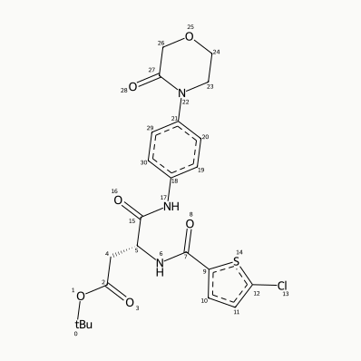 CC(C)(C)OC(=O)C[C@@H](NC(=O)c1ccc(Cl)s1)C(=O)Nc1ccc(N2CCOCC2=O)cc1